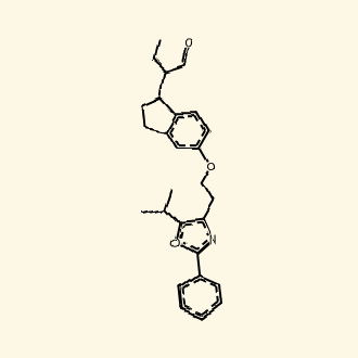 CCC(C=O)C1CCc2cc(OCCc3nc(-c4ccccc4)oc3C(C)C)ccc21